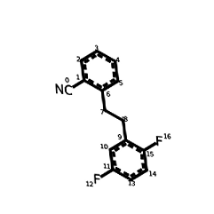 N#Cc1ccccc1C[CH]c1cc(F)ccc1F